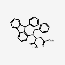 COC(=O)C[C@@H](C(=O)OC)N(Cc1ccccc1)c1cccc2c1C(c1ccccc1)c1ccccc1-2